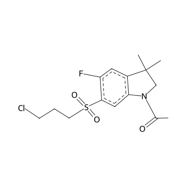 CC(=O)N1CC(C)(C)c2cc(F)c(S(=O)(=O)CCCCl)cc21